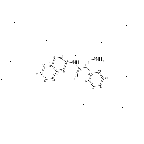 NC[C@@H](C(=O)Nc1ccc2cnccc2c1)c1ccccc1